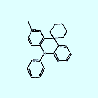 Cc1ccc2c(c1)C1(CCCCC1)c1ccccc1N2c1ccccc1